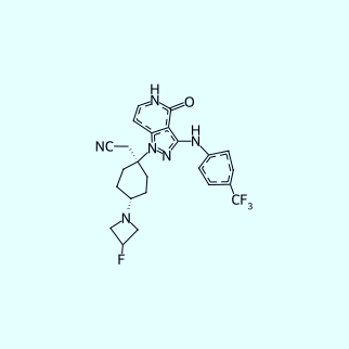 N#CC[C@]1(n2nc(Nc3ccc(C(F)(F)F)cc3)c3c(=O)[nH]ccc32)CC[C@H](N2CC(F)C2)CC1